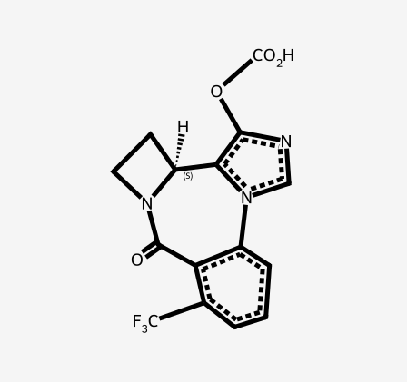 O=C(O)Oc1ncn2c1[C@@H]1CCN1C(=O)c1c-2cccc1C(F)(F)F